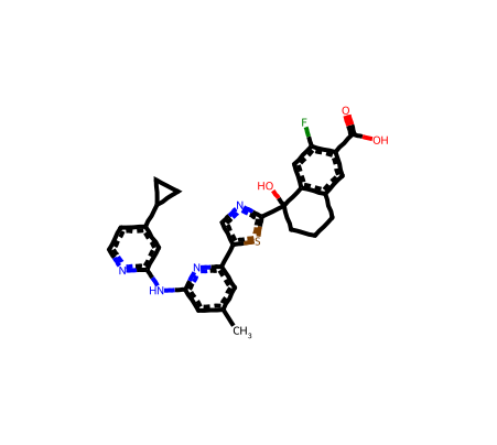 Cc1cc(Nc2cc(C3CC3)ccn2)nc(-c2cnc(C3(O)CCCc4cc(C(=O)O)c(F)cc43)s2)c1